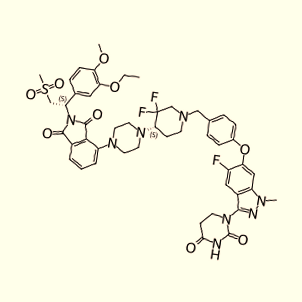 CCOc1cc([C@@H](CS(C)(=O)=O)N2C(=O)c3cccc(N4CCN([C@H]5CCN(Cc6ccc(Oc7cc8c(cc7F)c(N7CCC(=O)NC7=O)nn8C)cc6)CC5(F)F)CC4)c3C2=O)ccc1OC